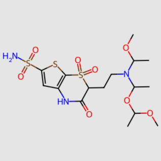 COC(C)OC(C)N(CCC1C(=O)Nc2cc(S(N)(=O)=O)sc2S1(=O)=O)C(C)OC